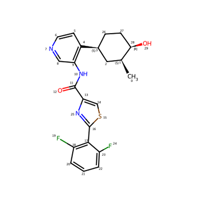 C[C@H]1C[C@@H](c2ccncc2NC(=O)c2csc(-c3c(F)cccc3F)n2)CC[C@H]1O